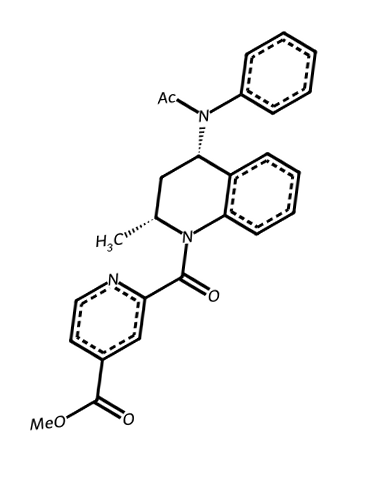 COC(=O)c1ccnc(C(=O)N2c3ccccc3[C@@H](N(C(C)=O)c3ccccc3)C[C@H]2C)c1